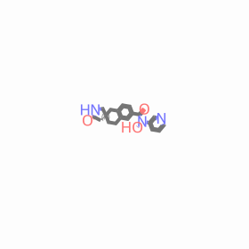 O=C1C[C@]2(CCc3cc(C(=O)N(O)c4cccnc4)ccc3C2)CN1